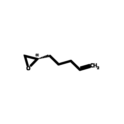 C=CCCC[C@H]1CO1